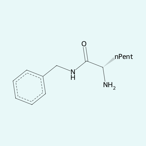 CCCCC[C@H](N)C(=O)NCc1ccccc1